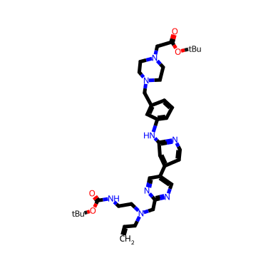 C=CCN(CCNC(=O)OC(C)(C)C)Cc1ncc(-c2ccnc(Nc3cccc(CN4CCN(CC(=O)OC(C)(C)C)CC4)c3)c2)cn1